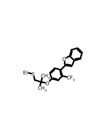 CCSCC(C)(C)Oc1ccc(-c2cc3ccccc3o2)c(C(F)(F)F)c1